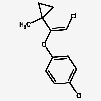 CC1(C(=CCl)Oc2ccc(Cl)cc2)CC1